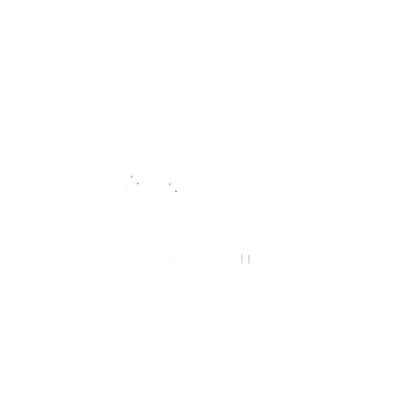 CC1(C)CCN(N)C1C(=O)O